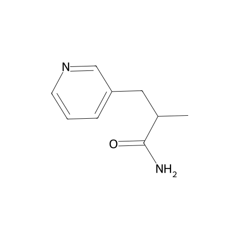 CC(Cc1cccnc1)C(N)=O